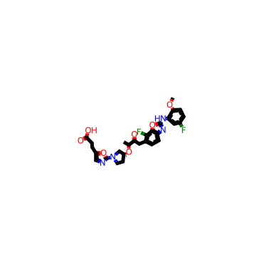 COc1ccc(F)cc1Nc1nc2ccc(CC(=O)C(C)O[C@H]3CCN(c4ncc(CCC(=O)O)o4)C3)c(F)c2o1